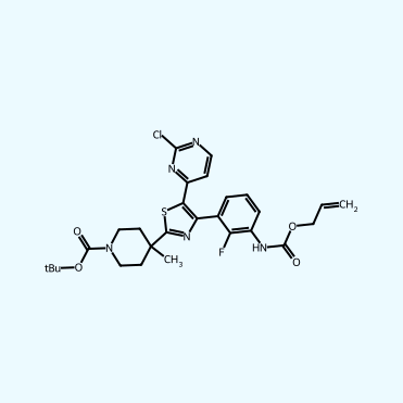 C=CCOC(=O)Nc1cccc(-c2nc(C3(C)CCN(C(=O)OC(C)(C)C)CC3)sc2-c2ccnc(Cl)n2)c1F